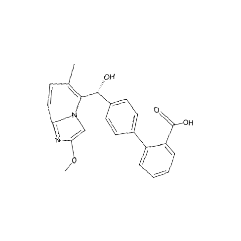 COc1cn2c([C@H](O)c3ccc(-c4ccccc4C(=O)O)cc3)c(C)ccc2n1